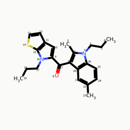 CCCn1c(C)c(C(=O)c2cc3ccsc3n2CCC)c2cc(C)ccc21